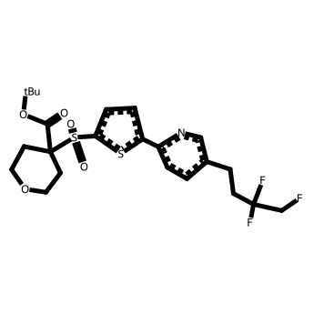 CC(C)(C)OC(=O)C1(S(=O)(=O)c2ccc(-c3ccc(CCC(F)(F)CF)cn3)s2)CCOCC1